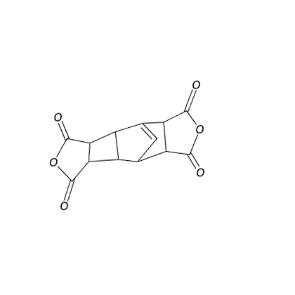 O=C1OC(=O)C2C1C1=CC2C2C3C(=O)OC(=O)C3C12